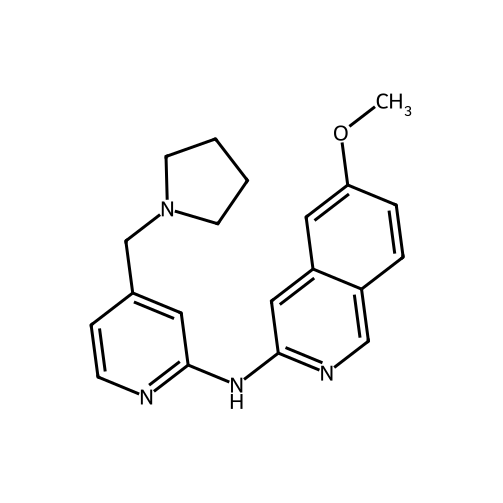 COc1ccc2cnc(Nc3cc(CN4CCCC4)ccn3)cc2c1